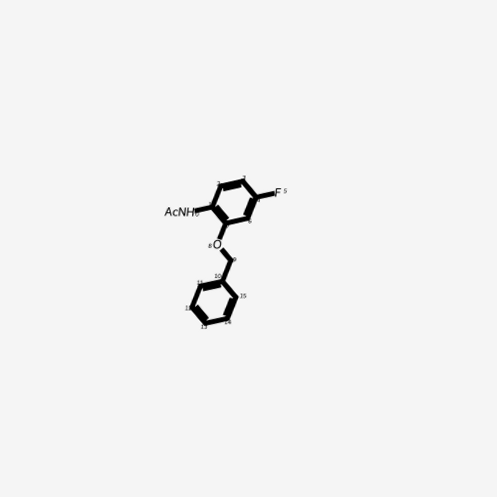 CC(=O)Nc1ccc(F)cc1OCc1ccccc1